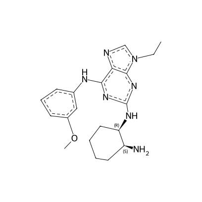 CCn1cnc2c(Nc3cccc(OC)c3)nc(N[C@@H]3CCCC[C@@H]3N)nc21